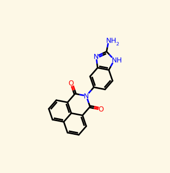 Nc1nc2cc(N3C(=O)c4cccc5cccc(c45)C3=O)ccc2[nH]1